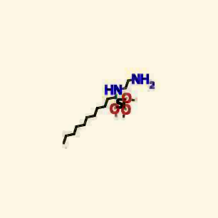 CCCCCCCCCCC(NCCN)[Si](OC)(OC)OC